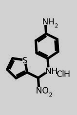 Cl.Nc1ccc(NC(c2cccs2)[N+](=O)[O-])cc1